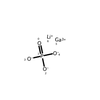 O=P([O-])([O-])[O-].[Ga+3].[Li+]